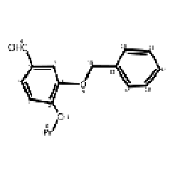 CC(C)Oc1ccc(C=O)cc1OCc1ccccc1